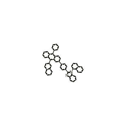 c1ccc(-c2c3ccccc3c(-c3ccc4ccccc4c3)c3cc(-c4ccc(-c5nc6ccccc6n5-c5cccc6ccccc56)cc4)ccc23)cc1